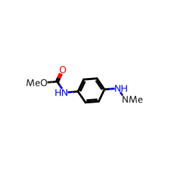 CNNc1ccc(NC(=O)OC)cc1